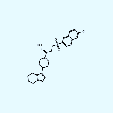 Cl.O=C(CCS(=O)(=O)c1ccc2cc(Cl)ccc2c1)N1CCC(c2ncc3n2CCCC3)CC1